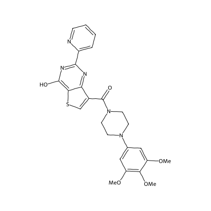 COc1cc(N2CCN(C(=O)c3csc4c(O)nc(-c5ccccn5)nc34)CC2)cc(OC)c1OC